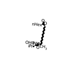 CCCCCC[C@@H]1C(=O)O[C@H]1CCCCCCCCCCC[C@H](C)OC(=O)[C@H](CC(C)C)NC=O